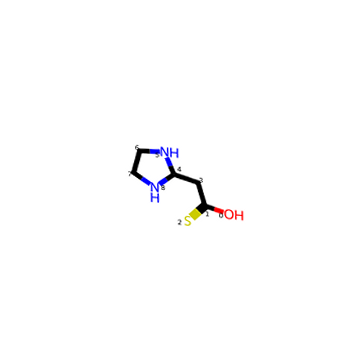 OC(=S)CC1NCCN1